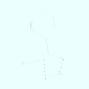 CCC(C)c1cn[nH]c1-c1ccccc1